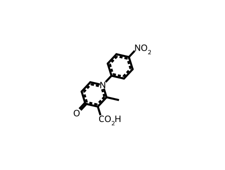 Cc1c(C(=O)O)c(=O)ccn1-c1ccc([N+](=O)[O-])cc1